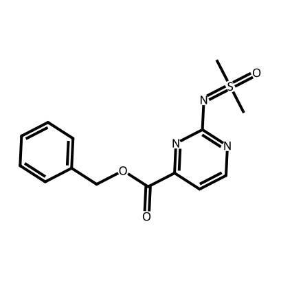 CS(C)(=O)=Nc1nccc(C(=O)OCc2ccccc2)n1